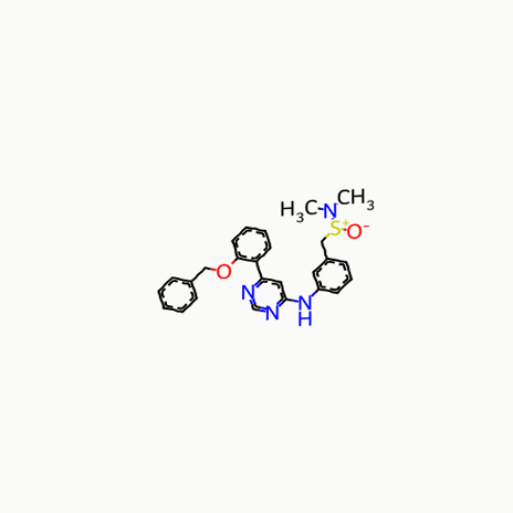 CN(C)[S+]([O-])Cc1cccc(Nc2cc(-c3ccccc3OCc3ccccc3)ncn2)c1